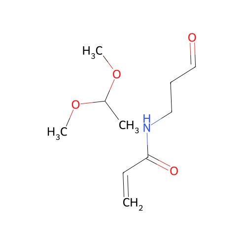 C=CC(=O)NCCC=O.COC(C)OC